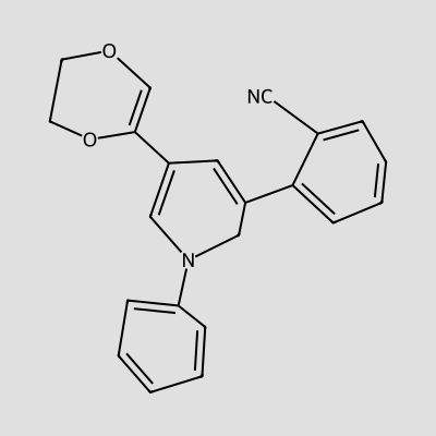 N#Cc1ccccc1C1=CC(C2=COCCO2)=CN(c2ccccc2)C1